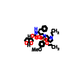 C=CCOc1cc(OC)ccc1S(=O)(=O)N(CC1CCCN1CC=C)C[C@@H](O)[C@H](Cc1ccccc1)NC(=O)O[C@H]1CO[C@H]2OCC[C@H]21